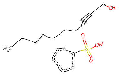 CCCCCCCC#CCO.O=S(=O)(O)c1ccccc1